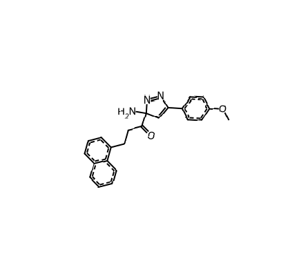 COc1ccc(C2=CC(N)(C(=O)CCc3cccc4ccccc34)N=N2)cc1